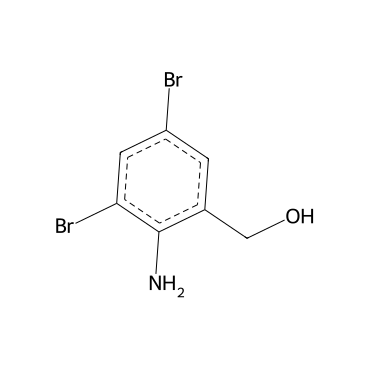 Nc1c(Br)cc(Br)cc1CO